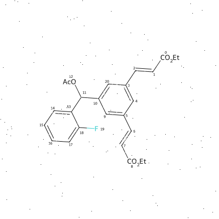 CCOC(=O)C=Cc1cc(C=CC(=O)OCC)cc(C(OC(C)=O)c2ccccc2F)c1